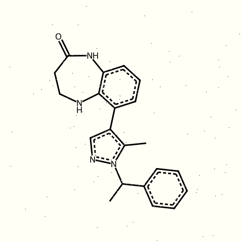 Cc1c(-c2cccc3c2NCCC(=O)N3)cnn1C(C)c1ccccc1